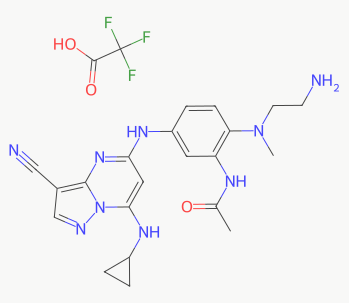 CC(=O)Nc1cc(Nc2cc(NC3CC3)n3ncc(C#N)c3n2)ccc1N(C)CCN.O=C(O)C(F)(F)F